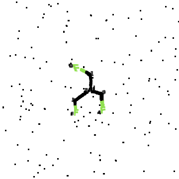 F[CH2][Al]([CH2]F)[CH2]F